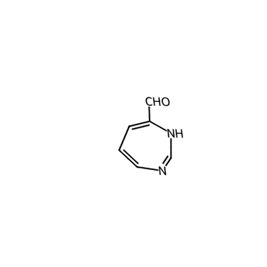 O=CC1=CC=CN=CN1